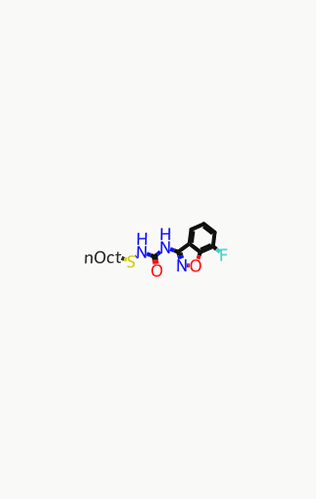 CCCCCCCCSNC(=O)Nc1noc2c(F)cccc12